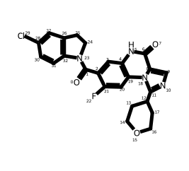 O=C(c1cc2[nH]c(=O)c3cnc(C4CCOCC4)n3c2cc1F)N1CCc2cc(Cl)ccc21